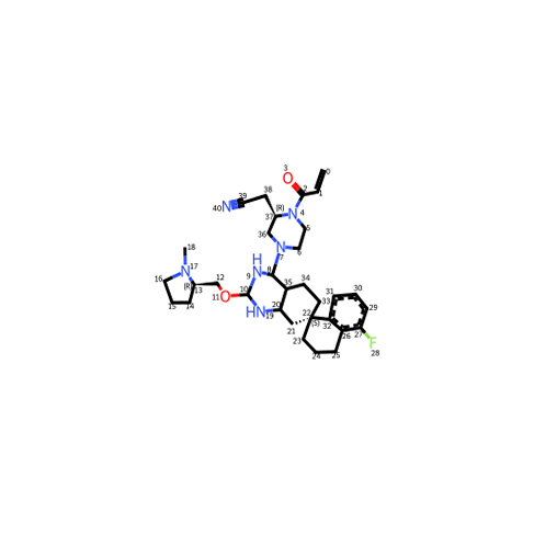 C=CC(=O)N1CCN(C2NC(OC[C@H]3CCCN3C)NC3C[C@]4(CCCc5c(F)cccc54)CCC32)C[C@H]1CC#N